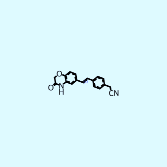 N#CCc1ccc(/C=C/c2ccc3c(c2)NC(=O)CO3)cc1